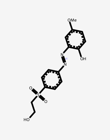 COc1ccc(O)c(/N=N/c2ccc(S(=O)(=O)CCO)cc2)c1